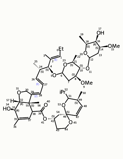 CC/C=C(\C)[C@@H](OC1C[C@H](OC)[C@@H](OC2C[C@H](OC)[C@H](O)[C@H](C)O2)[C@H](C)O1)[C@@H](C)/C=C/C=C1\CO[C@H]2[C@H](O)C(C)=CC(C(=O)O[C@H]3CCO[C@@]4(C=C[C@H](C)C(C(C)C)O4)C3)[C@@]12C